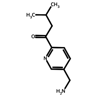 CC(C)CC(=O)c1ccc(CN)cn1